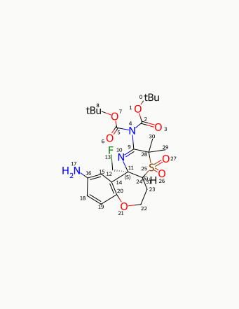 CC(C)(C)OC(=O)N(C(=O)OC(C)(C)C)C1=N[C@]2(CF)c3cc(N)ccc3OCC[C@@H]2S(=O)(=O)C1(C)C